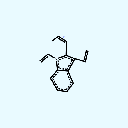 C=Cc1c(/C=C\C)n(C=C)c2ccccc12